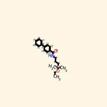 CCO[Si](C)(C)CCCNC(=O)c1ccc(-c2ccccc2)cc1